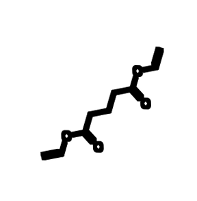 C=COC(=O)CCCC(=O)OC=C